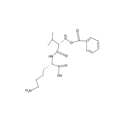 CC(C)[C@H](NOC(=O)c1ccccc1)C(=O)N[C@@H](CCCCN)C(=O)O